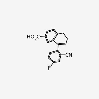 N#Cc1cc(F)ccc1C1=CCCc2ccc(C(=O)O)cc21